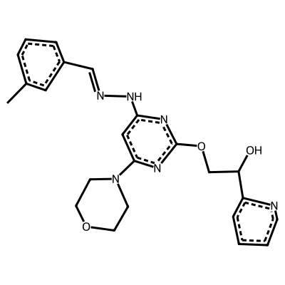 Cc1cccc(C=NNc2cc(N3CCOCC3)nc(OCC(O)c3ccccn3)n2)c1